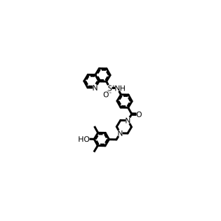 Cc1cc(CN2CCN(C(=O)c3ccc(N[S+]([O-])c4cccc5cccnc45)cc3)CC2)cc(C)c1O